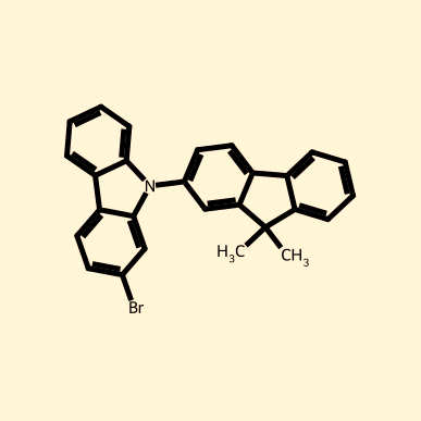 CC1(C)c2ccccc2-c2ccc(-n3c4ccccc4c4ccc(Br)cc43)cc21